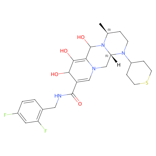 C[C@H]1CCN(C2CCSCC2)[C@@H]2CN3C=C(C(=O)NCc4ccc(F)cc4F)C(O)C(O)=C3C(O)N12